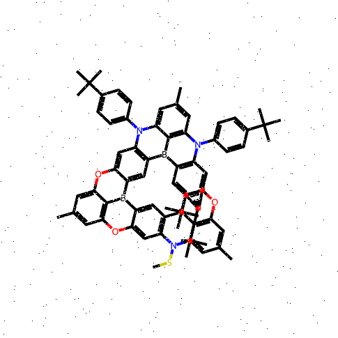 CSN1c2cc3c(cc2B2c4cc(C(C)(C)C)ccc4Oc4cc(C)cc1c42)B1c2cc4c(cc2Oc2cc(C)cc(c21)O3)N(c1ccc(C(C)(C)C)cc1)c1cc(C)cc2c1B4c1cc(C(C)(C)C)ccc1N2c1ccc(C(C)(C)C)cc1